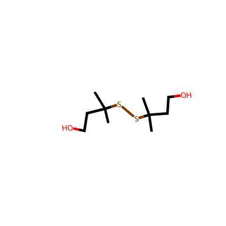 CC(C)(CCO)SSC(C)(C)CCO